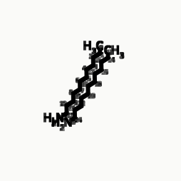 CCCCCCCCCCCCN.CCCCCCCCCCCCN